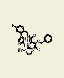 Cc1ncn(-c2cc(F)ccc2CNC(=O)c2nc3n(c(=O)c2OCc2ccccc2)CCN3C(C)C)n1